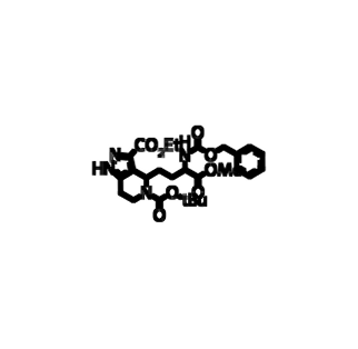 CCOC(=O)c1n[nH]c2c1C(CCC(NC(=O)OCc1ccccc1)C(=O)OC)N(C(=O)OC(C)(C)C)CC2